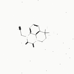 C#CCn1c(=O)c(=O)n2c3c(cccc31)C(C)(C)CC2